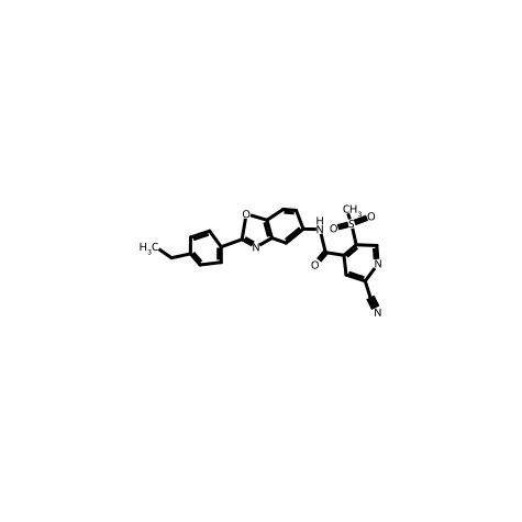 CCc1ccc(-c2nc3cc(NC(=O)c4cc(C#N)ncc4S(C)(=O)=O)ccc3o2)cc1